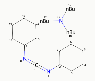 C(=NC1CCCCC1)=NC1CCCCC1.CCCCN(CCCC)CCCC